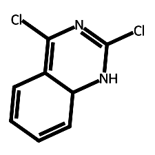 ClC1=NC(Cl)=C2C=CC=CC2N1